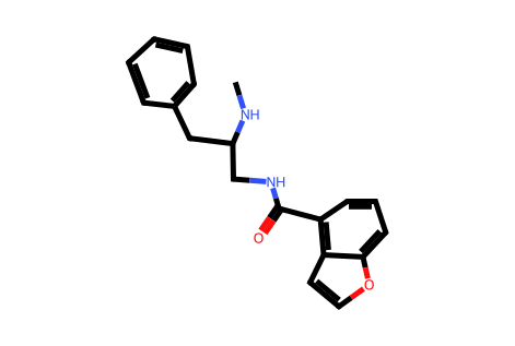 CNC(CNC(=O)c1cccc2occc12)Cc1ccccc1